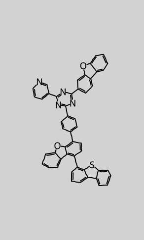 c1cncc(-c2nc(-c3ccc(-c4ccc(-c5cccc6c5sc5ccccc56)c5c4oc4ccccc45)cc3)nc(-c3ccc4c(c3)oc3ccccc34)n2)c1